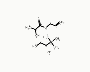 C=CCOC(=O)C(C)O.C[N+](C)(C)CCO.[Cl-]